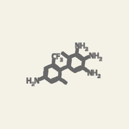 Cc1cc(N)cc(C(F)(F)F)c1-c1cc(N)c(N)c(N)c1C